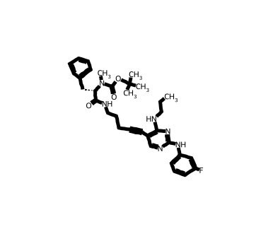 CCCNc1nc(Nc2cccc(F)c2)ncc1C#CCCCNC(=O)[C@H](Cc1ccccc1)N(C)C(=O)OC(C)(C)C